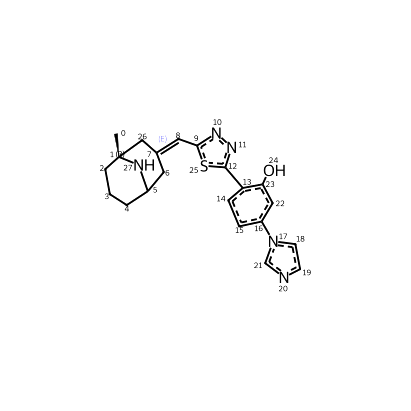 C[C@@]12CCCC(C/C(=C\c3nnc(-c4ccc(-n5ccnc5)cc4O)s3)C1)N2